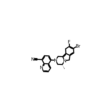 C[C@@H]1CN(c2ccc(C#N)c3ncccc23)CC2=C3CC(F)=C(Br)C=C3CN21